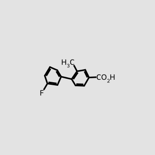 Cc1cc(C(=O)O)ccc1-c1cccc(F)c1